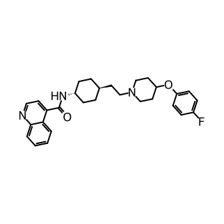 O=C(N[C@H]1CC[C@H](CCN2CCC(Oc3ccc(F)cc3)CC2)CC1)c1ccnc2ccccc12